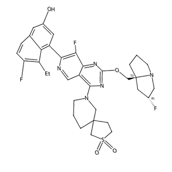 CCc1c(F)ccc2cc(O)cc(-c3ncc4c(N5CCCC6(CCS(=O)(=O)C6)C5)nc(OC[C@@]56CCCN5C[C@H](F)C6)nc4c3F)c12